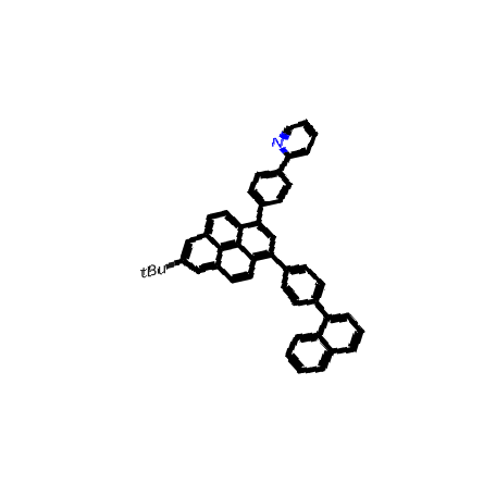 CC(C)(C)c1cc2ccc3c(-c4ccc(-c5ccccn5)cc4)cc(-c4ccc(-c5cccc6ccccc56)cc4)c4ccc(c1)c2c34